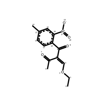 CCOC=C(C(C)=O)C(=O)c1ccc(C)cc1[N+](=O)[O-]